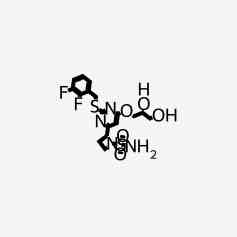 NS(=O)(=O)N1CCC1c1cc(OC[C@H](O)CO)nc(SCc2cccc(F)c2F)n1